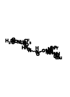 CCCSc1nc(NCCNC(=O)OC(C)(C)C)c2nnn(Cc3ccc(C#CC(=O)NCCCCCN4CCC(Nc5cccc6c5cc(C#CCNc5ccc(S(C)(=O)=O)cc5)n6CC(F)(F)F)CC4)cc3)c2n1